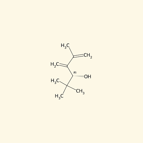 C=C(C)C(=C)[C@H](O)C(C)(C)C